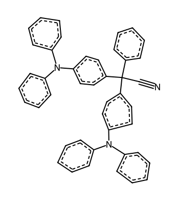 N#CC(c1ccccc1)(c1ccc(N(c2ccccc2)c2ccccc2)cc1)c1ccc(N(c2ccccc2)c2ccccc2)cc1